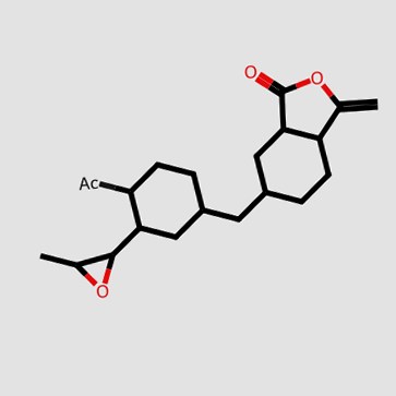 C=C1OC(=O)C2CC(CC3CCC(C(C)=O)C(C4OC4C)C3)CCC12